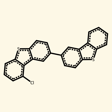 Clc1cccc2sc3ccc(-c4ccc5sc6ccccc6c5c4)cc3c12